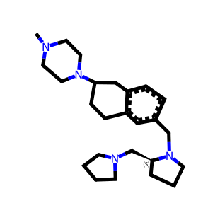 CN1CCN(C2CCc3cc(CN4CCC[C@H]4CN4CCCC4)ccc3C2)CC1